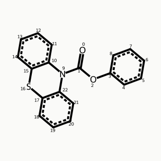 O=C(Oc1ccccc1)N1c2ccccc2Sc2ccccc21